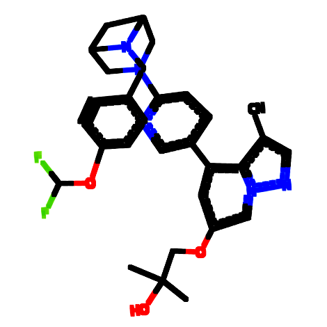 CC(C)(O)COc1cc(-c2ccc(N3CC4CC(C3)N4Cc3c#cc(OC(F)F)cc3)nc2)c2c(C#N)cnn2c1